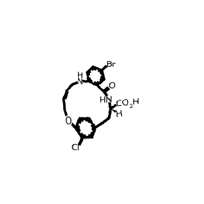 O=C1N[C@H](C(=O)O)Cc2ccc(c(Cl)c2)OCC=CCNc2ccc(Br)cc21